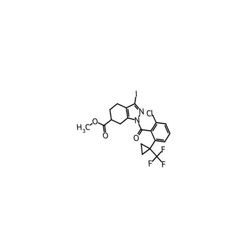 COC(=O)C1CCc2c(I)nn(C(=O)c3c(Cl)cccc3C3(C(F)(F)F)CC3)c2C1